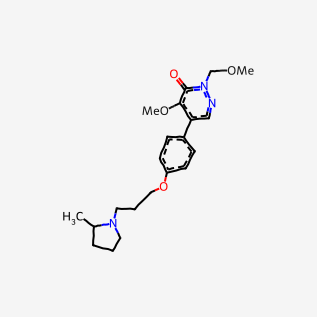 COCn1ncc(-c2ccc(OCCCN3CCCC3C)cc2)c(OC)c1=O